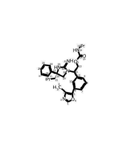 Cc1ncoc1-c1cccc(C(COC(=O)NC(C)C)N2C[C@@](CC(C)C)(c3ccccc3)NC2=N)c1